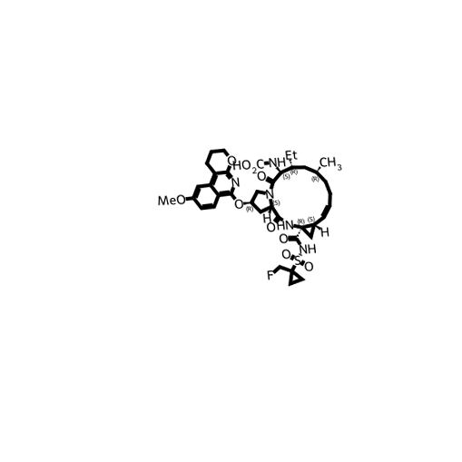 CC[C@@H]1C[C@H](C)CCC=C[C@@H]2C[C@@]2(C(=O)NS(=O)(=O)C2(CF)CC2)NC(=O)[C@@H]2C[C@@H](Oc3nc4c(c5cc(OC)ccc35)CCCO4)CN2C(=O)[C@H]1NC(=O)O